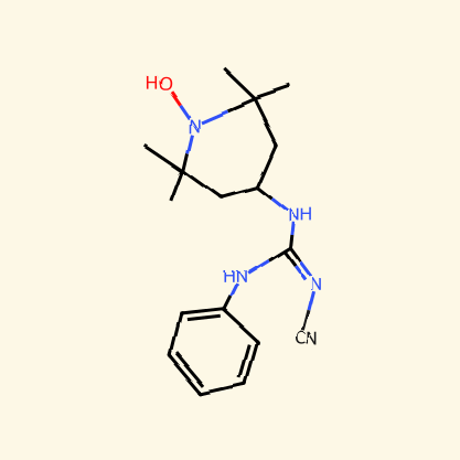 CC1(C)CC(NC(=NC#N)Nc2ccccc2)CC(C)(C)N1O